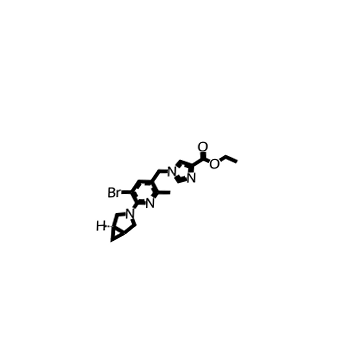 CCOC(=O)c1cn(Cc2cc(Br)c(N3CC4C[C@H]4C3)nc2C)cn1